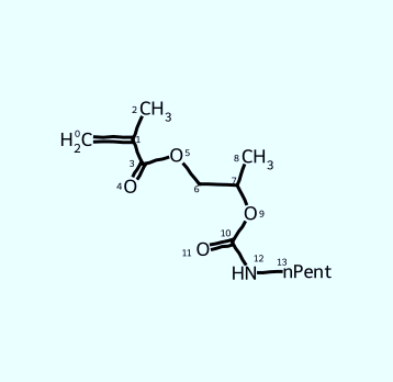 C=C(C)C(=O)OCC(C)OC(=O)NCCCCC